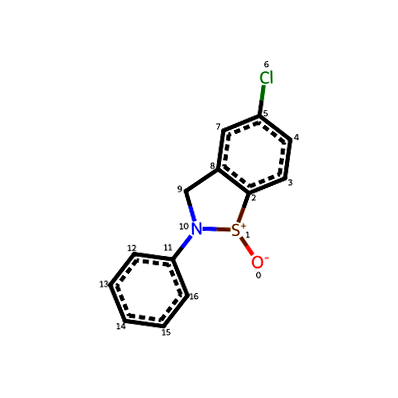 [O-][S+]1c2ccc(Cl)cc2CN1c1ccccc1